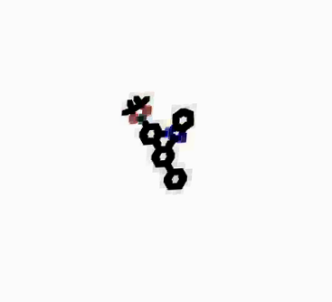 CC1(C)OB(c2ccc3c4ccc(-c5ccccc5)cc4c4nc5ccccc5n4c3c2)OC1(C)C